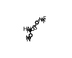 Cn1ncc2ccc(-c3n[nH]c4c3Cc3sc(-c5ccc(CN6CC(F)(F)C6)cc5)cc3-4)cc21